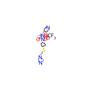 CN1CCN(CCCSc2ccc(N3C(=O)C(C)(C)[N+](Cc4ccncc4)(OC(=O)C(F)(F)F)C3=O)cc2)CC1